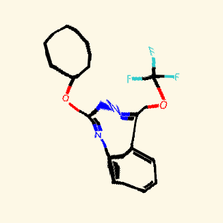 FC(F)(F)Oc1nc(OC2CCCCC2)nc2ccccc12